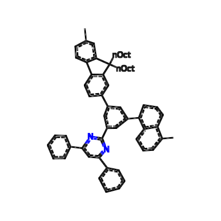 CCCCCCCCC1(CCCCCCCC)c2cc(C)ccc2-c2ccc(-c3cc(-c4nc(-c5ccccc5)cc(-c5ccccc5)n4)cc(-c4cccc5c(C)cccc45)c3)cc21